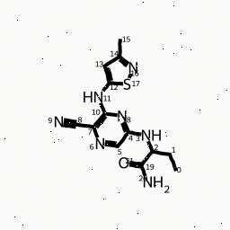 CCC(Nc1cnc(C#N)c(Nc2cc(C)ns2)n1)C(N)=O